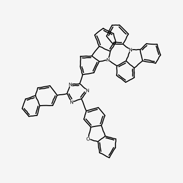 c1ccc(-n2c3ccccc3c3cccc(-n4c5ccccc5c5ccc(-c6nc(-c7ccc8ccccc8c7)nc(-c7ccc8c(c7)oc7ccccc78)n6)cc54)c32)cc1